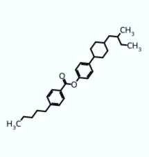 CCCCCc1ccc(C(=O)Oc2ccc(C3CCC(CC(C)CC)CC3)cc2)cc1